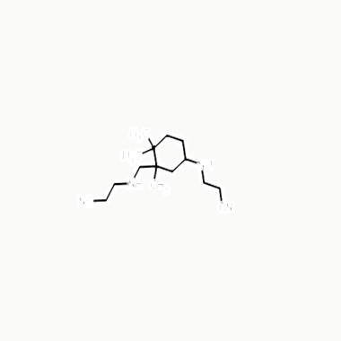 CC1(C)CCC(NCCC#N)CC1(C)CNCCC#N